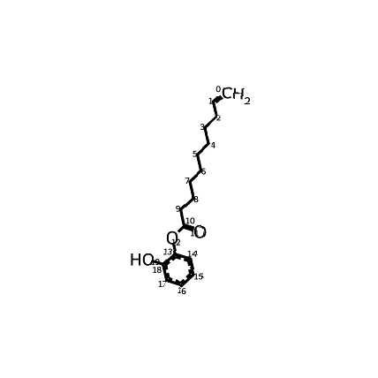 C=CCCCCCCCCC(=O)Oc1ccccc1O